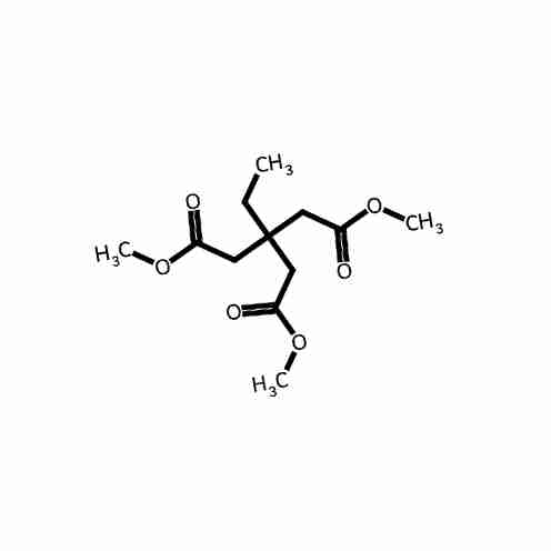 CCC(CC(=O)OC)(CC(=O)OC)CC(=O)OC